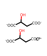 O=C([O-])CC(O)C(=O)[O-].O=C([O-])CC(O)C(=O)[O-].[C+4]